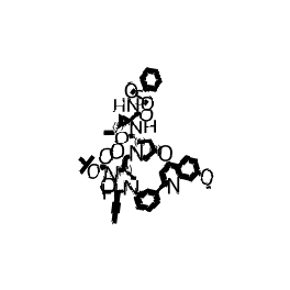 C=C[C@@H]1C[C@]1(NC(=O)[C@@H]1C[C@@H](Oc2cc(-c3ccccc3)nc3cc(OC)ccc23)CN1C(=O)[C@@H](CN(C)C(=O)C#CC)NC(=O)OC(C)(C)C)C(=O)NS(=O)(=O)c1ccccc1